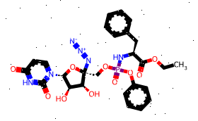 CCOC(=O)[C@H](Cc1ccccc1)NP(=O)(OC[C@@]1(N=[N+]=[N-])O[C@@H](n2ccc(=O)[nH]c2=O)[C@H](O)[C@@H]1O)Oc1ccccc1